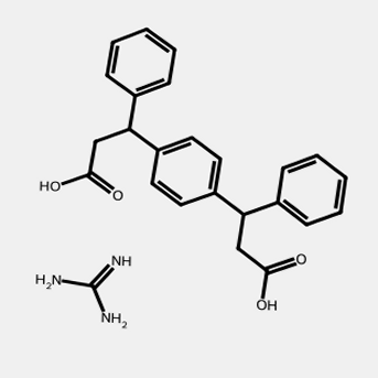 N=C(N)N.O=C(O)CC(c1ccccc1)c1ccc(C(CC(=O)O)c2ccccc2)cc1